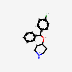 Fc1ccc(C(OC2CCNCC2)c2ccccc2)cc1